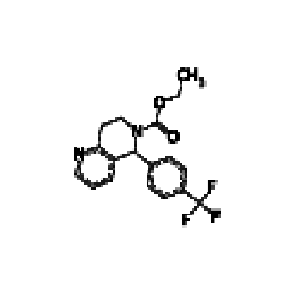 CCOC(=O)N1CCc2ncccc2C1c1ccc(C(F)(F)F)cc1